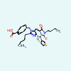 CCCCc1ncc(/C=C2/C(=O)N(CCCC)C(=O)N2C(C)c2ccsc2)n1Cc1ccc(C(=O)O)cc1